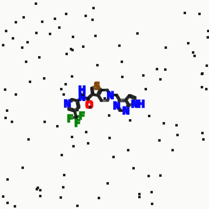 O=C(Nc1cncc(C(F)(F)F)c1)c1csc2c1CCN(Cc1ncnc3[nH]ccc13)C2